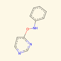 c1ccc(NOc2ccncn2)cc1